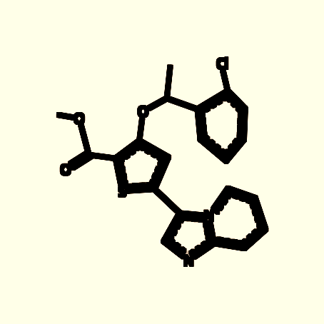 COC(=O)c1sc(-c2cnc3ccccn23)cc1OC(C)c1ccccc1Cl